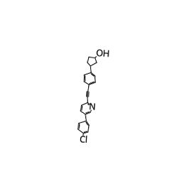 OC1CCC(c2ccc(C#Cc3ccc(-c4ccc(Cl)cc4)cn3)cc2)C1